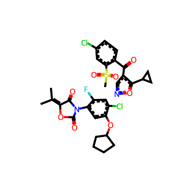 CC(C)=C1OC(=O)N(c2cc(OC3CCCC3)c(Cl)cc2F)C1=O.CS(=O)(=O)c1cc(Cl)ccc1C(=O)c1cnoc1C1CC1